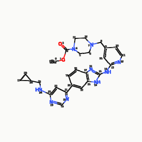 CC(C)(C)OC(=O)N1CCN(Cc2ccnc(Nc3nc4ccc(-c5cc(NCC6CC6)ncn5)cc4[nH]3)c2)CC1